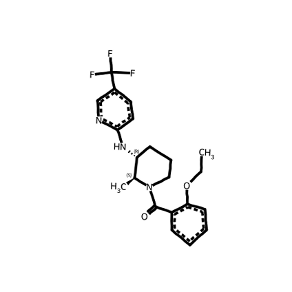 CCOc1ccccc1C(=O)N1CCC[C@@H](Nc2ccc(C(F)(F)F)cn2)[C@@H]1C